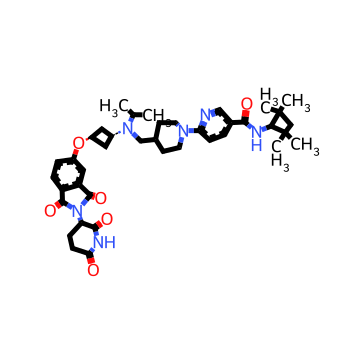 CC(C)N(CC1CCN(c2ccc(C(=O)NC3C(C)(C)CC3(C)C)cn2)CC1)[C@H]1C[C@@H](Oc2ccc3c(c2)C(=O)N(C2CCC(=O)NC2=O)C3=O)C1